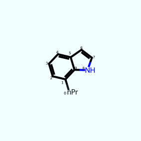 CCCc1cccc2cc[nH]c12